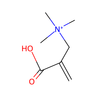 C=C(C[N+](C)(C)C)C(=O)O